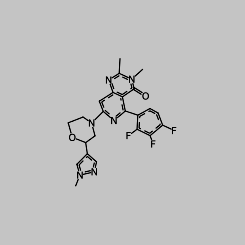 Cc1nc2cc(N3CCOC(c4cnn(C)c4)C3)nc(-c3ccc(F)c(F)c3F)c2c(=O)n1C